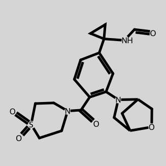 O=CNC1(c2ccc(C(=O)N3CCS(=O)(=O)CC3)c(N3CC4CC3CO4)c2)CC1